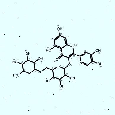 CC1CC(OCC2OC(Oc3c(-c4ccc(O)c(O)c4)oc4cc(O)cc(O)c4c3=O)C(O)C(O)C2O)C(O)C(O)C1O